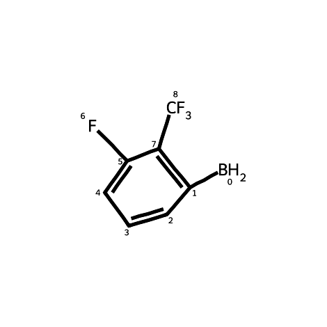 Bc1cccc(F)c1C(F)(F)F